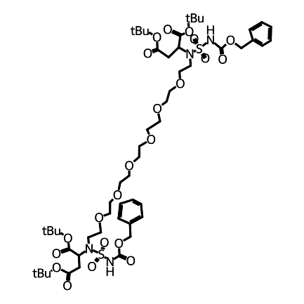 CC(C)(C)OC(=O)CC(C(=O)OC(C)(C)C)N(CCOCCOCCOCCOCCOCCOCCN(C(CC(=O)OC(C)(C)C)C(=O)OC(C)(C)C)S(=O)(=O)NC(=O)OCc1ccccc1)S(=O)(=O)NC(=O)OCc1ccccc1